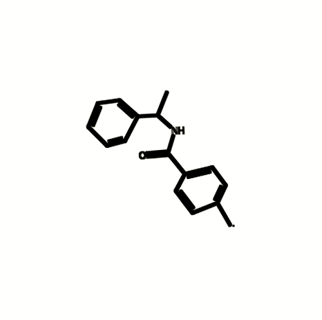 [CH2]c1ccc(C(=O)NC(C)c2ccccc2)cc1